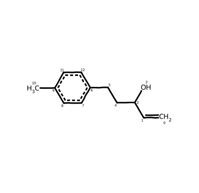 C=CC(O)CCc1ccc(C)cc1